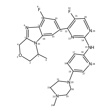 CC1COCc2nc3c(F)cc(-c4nc(Nc5ccc(N6CCN(C)CC6)cn5)ncc4F)cc3n21